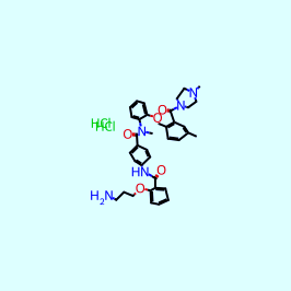 Cc1ccc(COc2ccccc2N(C)C(=O)c2ccc(NC(=O)c3ccccc3OCCCN)cc2)c(C(=O)N2CCN(C)CC2)c1.Cl.Cl